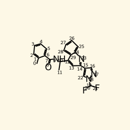 Cc1ccccc1C(=O)NC(C)c1cc(-c2cnn(C(F)F)c2)nc2ccccc12